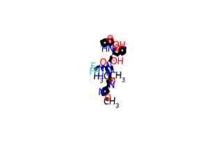 COc1cncc(-c2cc(C(C)(C)N3CCN(C[C@@H](O)C[C@@H](Cc4ccccc4)C(=O)N[C@H]4c5ccccc5OC[C@H]4O)[C@H](C(=O)NCC(F)(F)F)C3)on2)c1